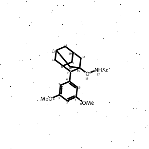 COc1cc(OC)cc(C2C3CC4CC(C3)CC2(ONC(C)=O)C4)c1